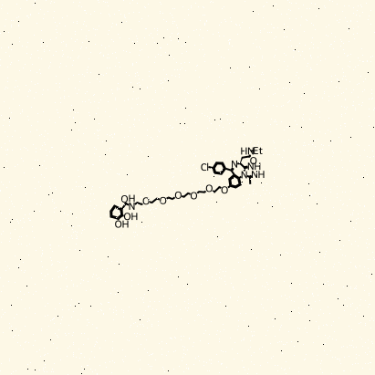 CCNC(=O)C[C@@H]1N=C(c2ccc(Cl)cc2)c2cc(OCCOCCOCCOCCOCCOCCNC(=O)c3cccc(O)c3O)ccc2N(C(C)=N)C1=N